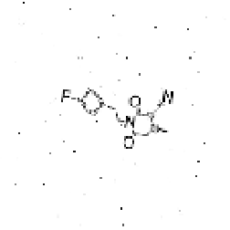 C[C@H]1CC(=O)N(CCc2ccc(F)cc2)C(=O)[C@@H]1C#N